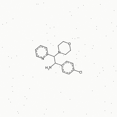 NC(c1ccc(Cl)cc1)C(c1ccccn1)N1CCOCC1